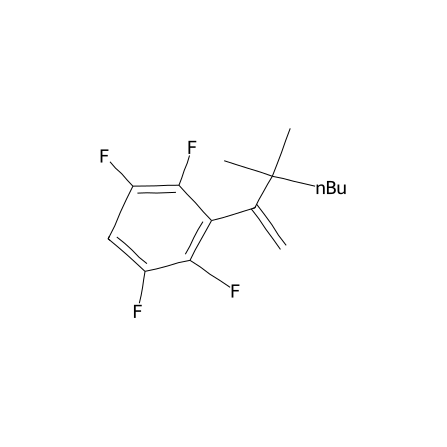 C=C(c1c(F)c(F)cc(F)c1F)C(C)(C)CCCC